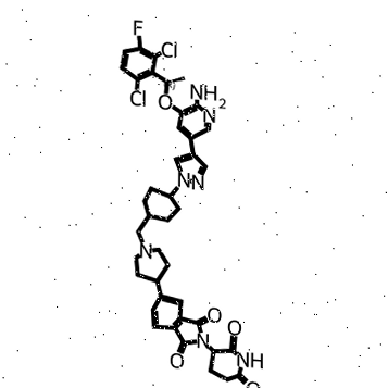 C[C@@H](Oc1cc(-c2cnn(C3CCC(CN4CCC(c5ccc6c(c5)C(=O)N(C5CCC(=O)NC5=O)C6=O)CC4)CC3)c2)cnc1N)c1c(Cl)ccc(F)c1Cl